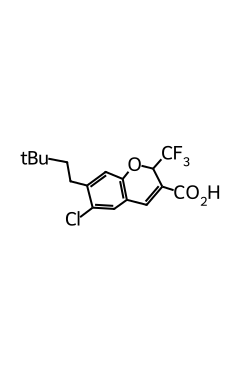 CC(C)(C)CCc1cc2c(cc1Cl)C=C(C(=O)O)C(C(F)(F)F)O2